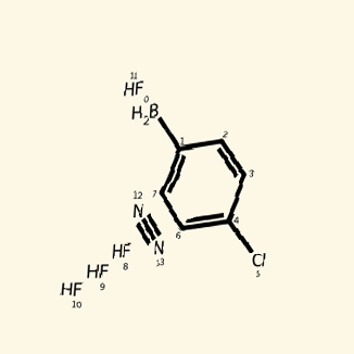 Bc1ccc(Cl)cc1.F.F.F.F.N#N